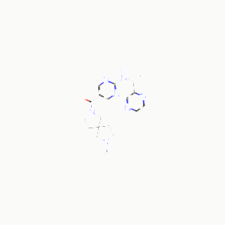 CCN1CCC2(CCN(C(=O)c3cnc(N[C@@H](C)c4cnccn4)nc3)C2)C1